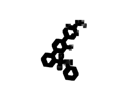 Nc1ncc(-c2ccc(-c3ccccc3S(=O)(=O)Nc3ccccc3)cc2F)cn1